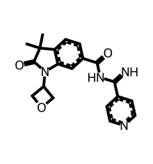 CC1(C)C(=O)N(C2COC2)c2cc(C(=O)NC(=N)c3ccncc3)ccc21